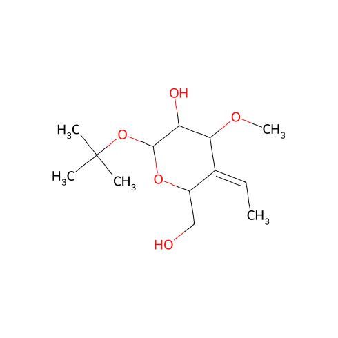 C/C=C1\C(CO)OC(OC(C)(C)C)C(O)C1OC